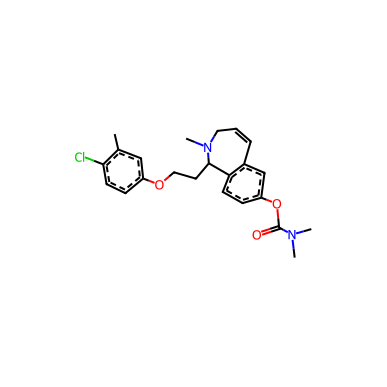 Cc1cc(OCCC2c3ccc(OC(=O)N(C)C)cc3C=CCN2C)ccc1Cl